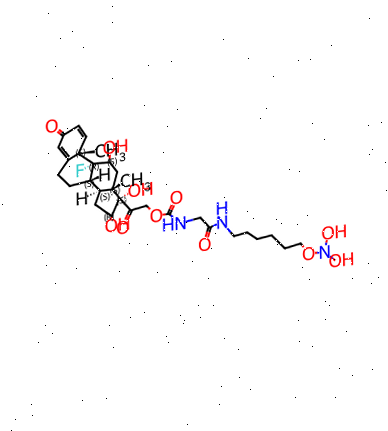 C[C@]12C=CC(=O)C=C1CC[C@H]1[C@@H]3C[C@@H](O)[C@](O)(C(=O)COC(=O)NCC(=O)NCCCCCCON(O)O)[C@@]3(C)C[C@H](O)[C@@]12F